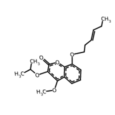 CC/C=C/CCOc1cccc2c(OC)c(OC(C)C)c(=O)oc12